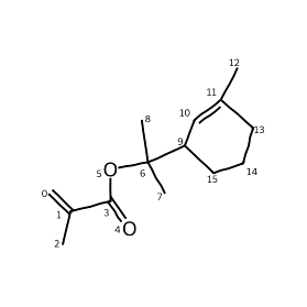 C=C(C)C(=O)OC(C)(C)C1C=C(C)CCC1